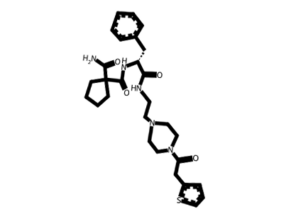 NC(=O)C1(C(=O)N[C@H](Cc2ccccc2)C(=O)NCCN2CCN(C(=O)Cc3cccs3)CC2)CCCC1